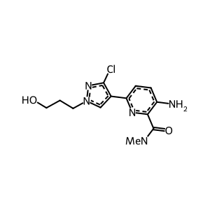 CNC(=O)c1nc(-c2cn(CCCO)nc2Cl)ccc1N